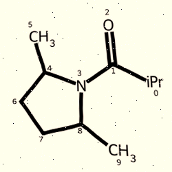 CC(C)C(=O)N1C(C)CCC1C